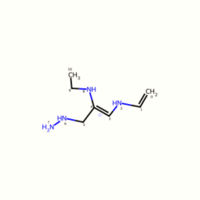 C=CN/C=C(/CNN)NCC